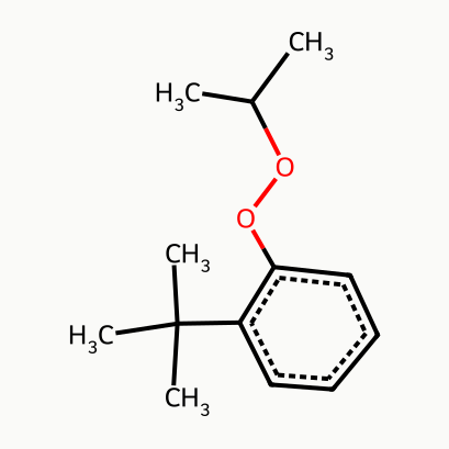 CC(C)OOc1ccccc1C(C)(C)C